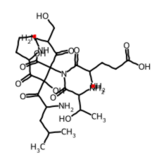 CC(C)CC(N)C(=O)C(O)(C(=O)C1CCCN1)C(C(=O)O)(C(=O)C(N)CO)N(C(=O)C(N)CCC(=O)O)C(=O)C(N)C(C)O